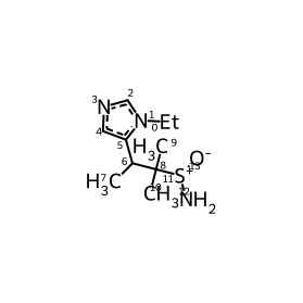 CCn1cncc1C(C)C(C)(C)[S+](N)[O-]